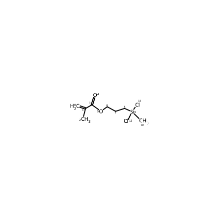 C=C(C)C(=O)OCCC[Si](C)(Cl)Cl